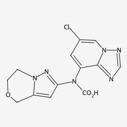 O=C(O)N(c1cc2n(n1)CCOC2)c1cc(Cl)cn2ncnc12